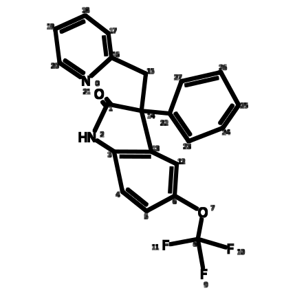 O=C1Nc2ccc(OC(F)(F)F)cc2C1(Cc1ccccn1)c1ccccc1